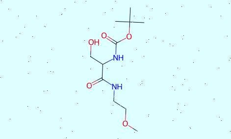 COCCNC(=O)C(CO)NC(=O)OC(C)(C)C